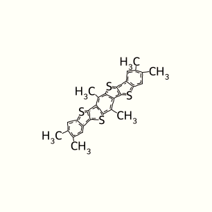 Cc1cc2sc3c(sc4c(C)c5c(sc6c7cc(C)c(C)cc7sc65)c(C)c43)c2cc1C